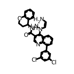 N/C=C\N(N)c1c(C(=O)NC2CCOc3ccccc32)cnc2c(-c3cc(Cl)cc(Cl)c3)cccc12